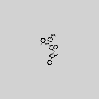 N[C@@H]1CCN(C(=O)N2CC[C@@H](Cn3cnc(-c4ccccc4)cc3=O)C3(CCCC3)C2)[C@H](c2cccc(F)c2)C1